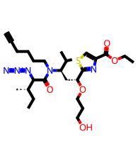 C#CCCCCN(C(=O)C(N=[N+]=[N-])[C@@H](C)CC)[C@H](C[C@@H](OCCCO)c1nc(C(=O)OCC)cs1)C(C)C